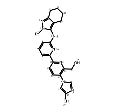 CCn1nc2c(c1Nc1cccc(-c3ccc(-n4cnc(C)c4)c(CO)n3)n1)CCCC2